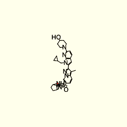 Cc1c(-c2cc3ccc(N4CCC(O)CC4)nc3n2CC2CC2)nn2cc(C(=O)N3CC4CCC3[C@@H]4N)ccc12